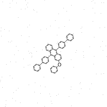 c1ccc(Oc2ccc3c(-c4ccc(-c5ccccc5)cc4)c4ccccc4c(-c4ccc(-c5ccccc5)cc4)c3c2)cc1